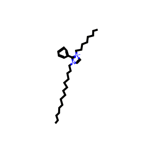 CCCCCCCCCCCCCCCn1cc[n+](CCCCCCCC)c1-c1ccccc1